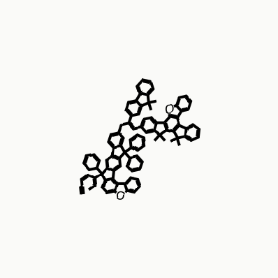 C#C/C=C\C(=C/C)C1(C2C=CC=CC2)c2cc3c(cc2-c2c1ccc1oc4ccccc4c21)C(c1ccccc1)(c1ccccc1)c1cc(C/C(=C/c2ccc4c(c2)C(C)(C)c2c5c(c6c(oc7ccccc76)c2-4)-c2ccccc2C5(C)C)c2ccc4c(c2)C(C)(C)c2ccccc2-4)ccc1-3